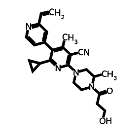 C=Cc1cc(-c2c(C3CC3)nc(N3CCN(C(=O)CCO)C(C)C3)c(C#N)c2C)ccn1